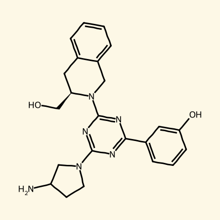 NC1CCN(c2nc(-c3cccc(O)c3)nc(N3Cc4ccccc4C[C@@H]3CO)n2)C1